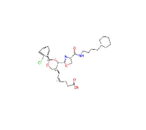 O=C(O)CC/C=C\C[C@H]1CO[C@@H](c2ccccc2Cl)OC1C1=NC(C(=O)NCCCCC2CCCCC2)CO1